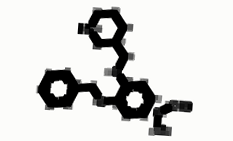 CC(C)(C)OC=O.c1ccc(COc2ccccc2OCC2CCCNC2)cc1